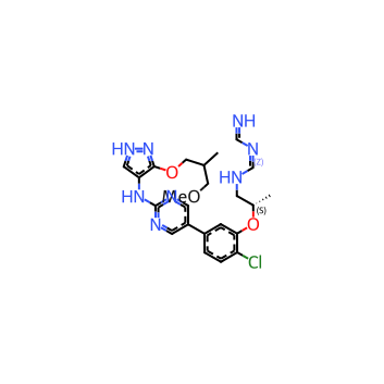 COCC(C)COc1n[nH]cc1Nc1ncc(-c2ccc(Cl)c(O[C@@H](C)CN/C=N\C=N)c2)cn1